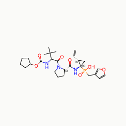 C=C[C@@H]1C[C@]1(NC(=O)[C@@H]1CCCN1C(=O)C(NC(=O)OC1CCCC1)C(C)(C)C)P(=O)(O)Cc1ccoc1